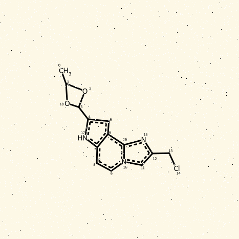 CC1OC(c2cc3c(ccn4cc(CCl)nc34)[nH]2)O1